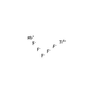 [F-].[F-].[F-].[F-].[F-].[Rb+].[Ti+4]